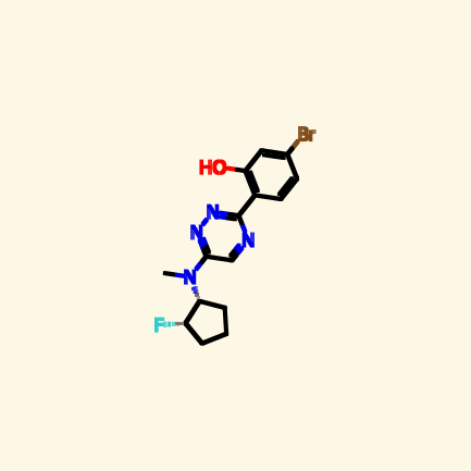 CN(c1cnc(-c2ccc(Br)cc2O)nn1)[C@@H]1CCC[C@@H]1F